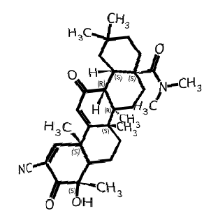 CN(C)C(=O)[C@]12CCC(C)(C)C[C@H]1[C@H]1C(=O)C=C3[C@@]4(C)C=C(C#N)C(=O)[C@@](C)(O)C4CC[C@@]3(C)[C@]1(C)CC2